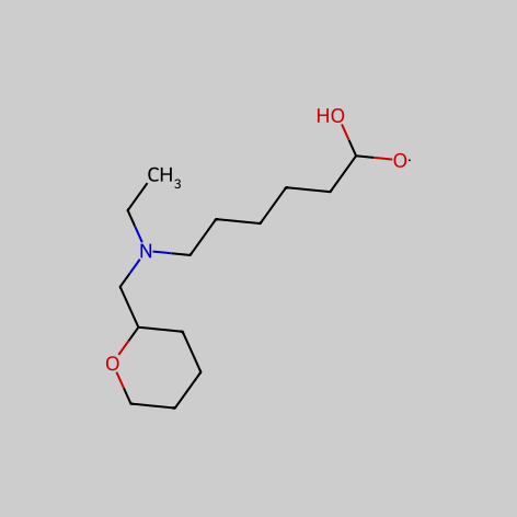 CCN(CCCCCC([O])O)CC1CCCCO1